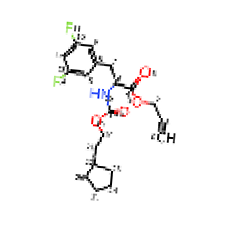 C#CCOC(=O)[C@H](Cc1cc(F)cc(F)c1)NC(=O)OCCC1CCCC1